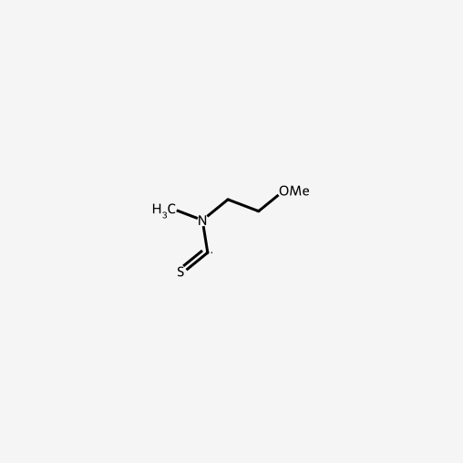 COCCN(C)[C]=S